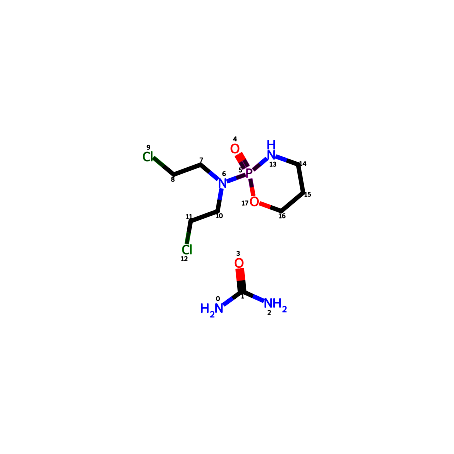 NC(N)=O.O=P1(N(CCCl)CCCl)NCCCO1